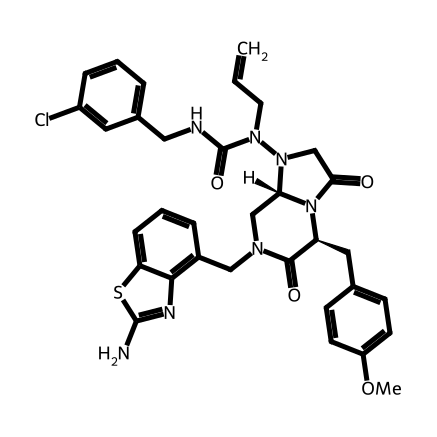 C=CCN(C(=O)NCc1cccc(Cl)c1)N1CC(=O)N2[C@@H](Cc3ccc(OC)cc3)C(=O)N(Cc3cccc4sc(N)nc34)C[C@@H]21